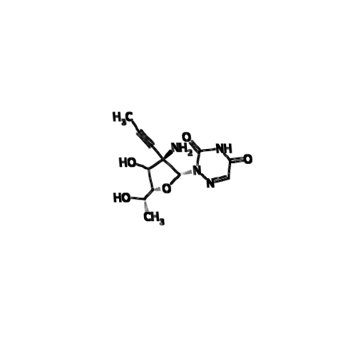 CC#C[C@@]1(N)C(O)[C@@H]([C@H](C)O)O[C@H]1n1ncc(=O)[nH]c1=O